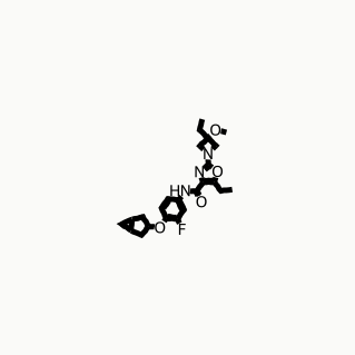 CCc1oc(N2CC(CC)(OC)C2)nc1C(=O)Nc1ccc(OC2CC3CC3C2)c(F)c1